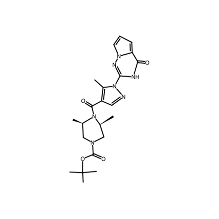 Cc1c(C(=O)N2[C@H](C)CN(C(=O)OC(C)(C)C)C[C@@H]2C)cnn1-c1nn2cccc2c(=O)[nH]1